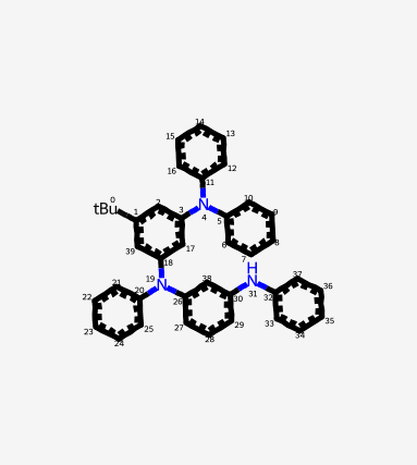 CC(C)(C)c1cc(N(c2ccccc2)c2ccccc2)cc(N(c2ccccc2)c2cccc(Nc3ccccc3)c2)c1